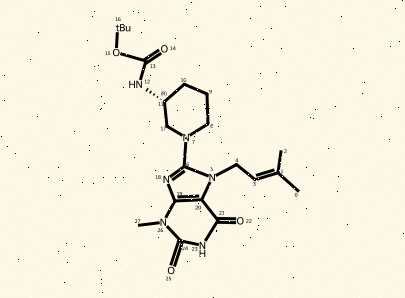 CC(C)=CCn1c(N2CCC[C@@H](NC(=O)OC(C)(C)C)C2)nc2c1c(=O)[nH]c(=O)n2C